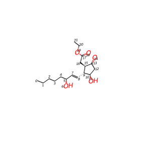 CCCCC[C@H](O)C=C[C@H]1[C@H](O)CC(=O)[C@@H]1CC(=O)OCC